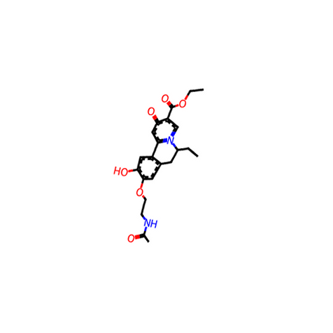 CCOC(=O)c1cn2c(cc1=O)-c1cc(O)c(OCCNC(C)=O)cc1CC2CC